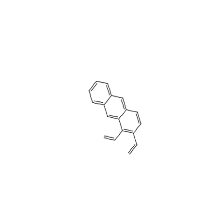 C=Cc1ccc2cc3ccccc3cc2c1C=C